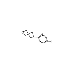 Ic1ccc(C2CC3(COC3)C2)nc1